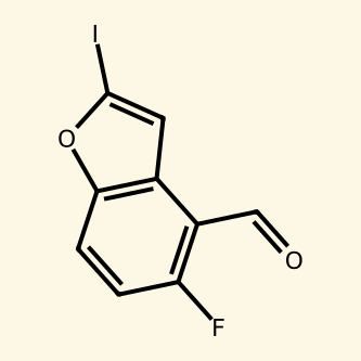 O=Cc1c(F)ccc2oc(I)cc12